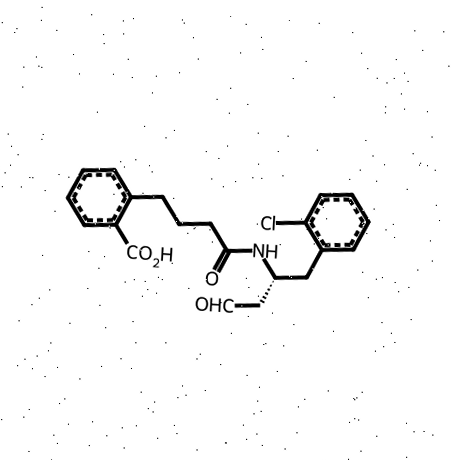 O=CC[C@@H](Cc1ccccc1Cl)NC(=O)CCCc1ccccc1C(=O)O